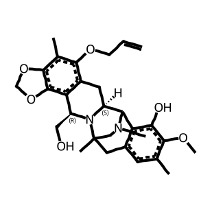 C=CCOc1c(C)c2c(c3c1C[C@H]1C4c5c(cc(C)c(OC)c5O)CC(C)(CN4C)N1[C@H]3CO)OCO2